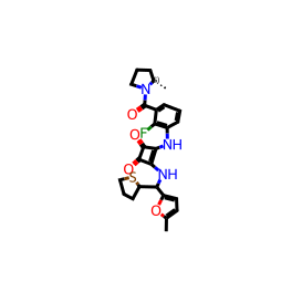 Cc1ccc(C(Nc2c(Nc3cccc(C(=O)N4CCC[C@@H]4C)c3F)c(=O)c2=O)C2CCCS2)o1